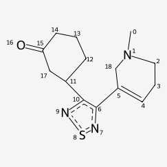 CN1CCC=C(c2nsnc2C2CCCC(=O)C2)C1